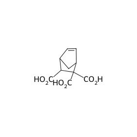 O=C(O)C1C2C=CC(C2)C1(C(=O)O)C(=O)O